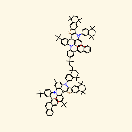 Cc1cc2c3c(c1)N(c1ccc4c(c1)C(C)(C)CCC4(C)C)c1c(sc4cc5c(cc14)C(C)(C)CCC5(C)C)B3c1cc(C(C)(C)C)ccc1N2c1ccc(C(C)(C)CCC2(C)CCC(C)(C)c3cc(N4c5cc(C)cc6c5B(c5cc(C(C)(C)C)ccc5N6c5ccc(C(C)(C)C)cc5-c5cccc6c5ccc5ccccc56)c5sc6cc7c(cc6c54)C(C)(C)CCC7(C)C)ccc32)cc1-c1ccc2ccccc2c1